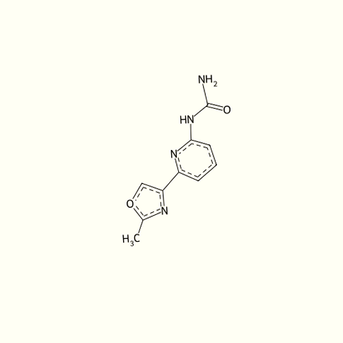 Cc1nc(-c2cccc(NC(N)=O)n2)co1